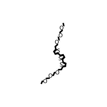 CCOCCOCCOCCc1ccc(-c2ccc(-c3ccc(CCOCCOCCOCC)s3)s2)s1